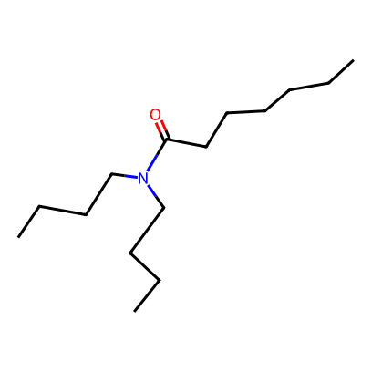 CCCCCCC(=O)N(CCCC)CCCC